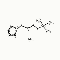 C[Si](C)(C)CCOCn1cccn1.N